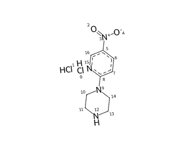 Cl.Cl.O=[N+]([O-])c1ccc(N2CCNCC2)nc1